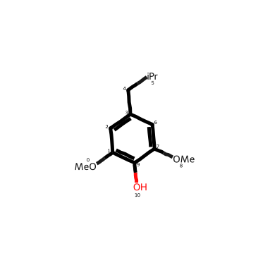 COc1cc(CC(C)C)cc(OC)c1O